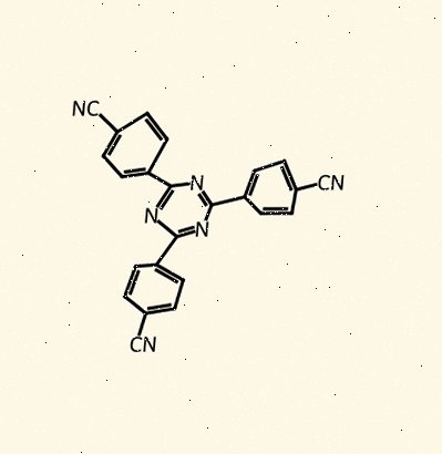 N#Cc1ccc(-c2nc(-c3ccc(C#N)cc3)nc(-c3ccc(C#N)cc3)n2)cc1